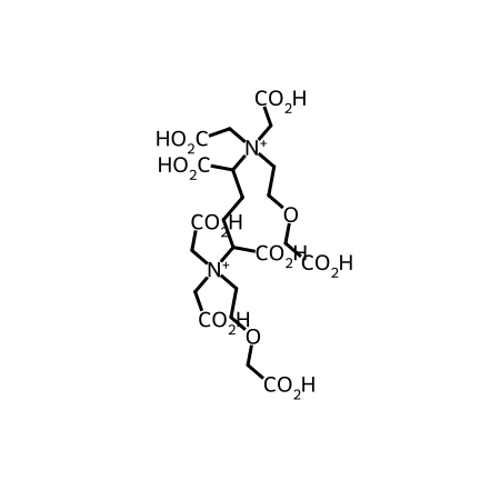 O=C(O)COCC[N+](CC(=O)O)(CC(=O)O)C(CCC(C(=O)O)[N+](CCOCC(=O)O)(CC(=O)O)CC(=O)O)C(=O)O